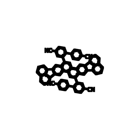 N#Cc1ccc(-c2ccc(C#N)cc2-c2cc3c4cc5c(cc4c(-c4cc(C#N)ccc4-c4ccc(C#N)cc4)cc3c3cc4c(cc23)-c2cccc3cccc-4c23)-c2cccc3cccc-5c23)cc1